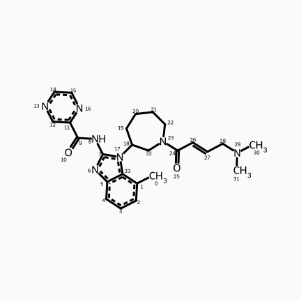 Cc1cccc2nc(NC(=O)c3cnccn3)n(C3CCCCN(C(=O)/C=C/CN(C)C)C3)c12